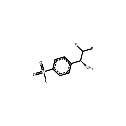 C[C@@H](c1ccc(S(=O)(=O)Cl)cc1)C(F)F